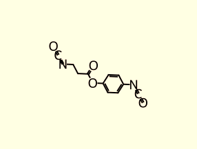 O=C=NCCC(=O)Oc1ccc(N=C=O)cc1